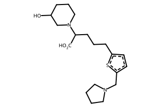 O=C(O)C(CCCc1ccc(CN2CCCC2)s1)N1CCCC(O)C1